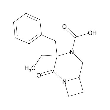 CCC1(Cc2ccccc2)C(=O)N2CCC2CN1C(=O)O